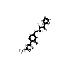 O=C(NCc1ccc(-c2noc(C(F)(F)F)n2)c(F)c1)C(=O)c1ccco1